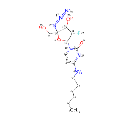 CCCCCCNc1ccn([C@@H]2O[C@@](CO)(N=[N+]=[N-])C(O)[C@@H]2F)c(=O)n1